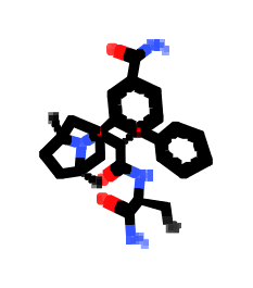 CC(C)C[C@H](NC(=O)[C@@H](Cc1ccccc1)CN1[C@@H]2CC[C@H]1C[C@@H](c1cccc(C(N)=O)c1)C2)C(N)=O